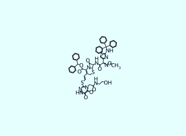 CO/N=C(/C(=O)NC1C(=O)N2C(C(=O)OC(c3ccccc3)c3ccccc3)=C(/C=C/Sc3n[nH]c(=O)c(=O)n3CC(=O)NCCO)CSC12)c1csc(NC(c2ccccc2)(c2ccccc2)c2ccccc2)n1